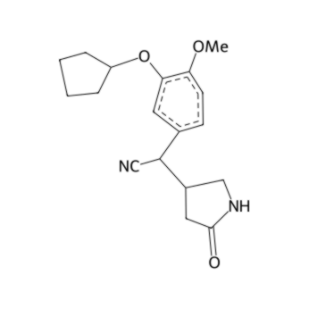 COc1ccc(C(C#N)C2CNC(=O)C2)cc1OC1CCCC1